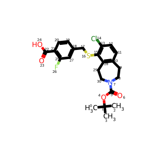 CC(C)(C)OC(=O)N1CCc2ccc(Cl)c(SCc3ccc(C(=O)O)c(F)c3)c2CC1